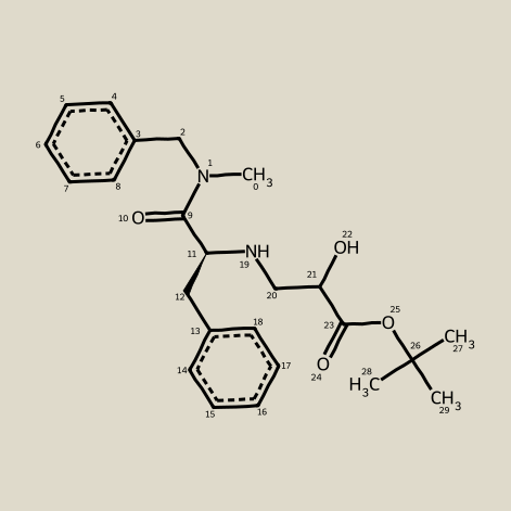 CN(Cc1ccccc1)C(=O)[C@H](Cc1ccccc1)NCC(O)C(=O)OC(C)(C)C